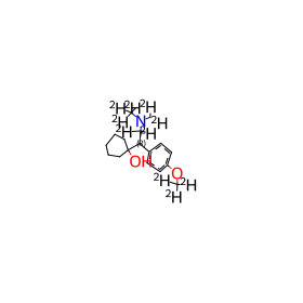 [2H]C([2H])N(C([2H])([2H])[2H])C([2H])([2H])[C@@H](c1ccc(OC([2H])([2H])[2H])cc1)C1(O)CCCCC1